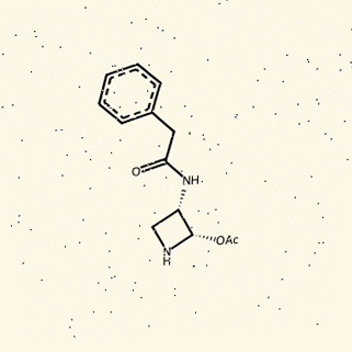 CC(=O)O[C@@H]1NC[C@@H]1NC(=O)Cc1ccccc1